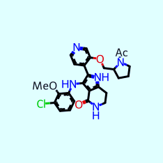 COc1c(Cl)cccc1Nc1c(-c2ccncc2OCC2CCCN2C(C)=O)[nH]c2c1C(=O)NCC2